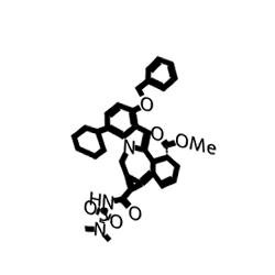 COC(=O)[C@@H]1CC=CC2=C3C(=C3C(=O)NS(=O)(=O)N(C)C)Cn3c(cc4c(OCc5ccccc5)ccc(C5CCCCC5)c43)C21